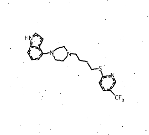 FC(F)(F)c1ccc(SCCCCN2CCN(c3cccc4[nH]ccc34)CC2)nc1